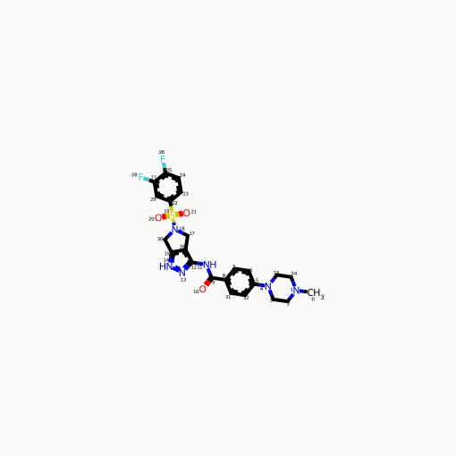 CN1CCN(c2ccc(C(=O)Nc3n[nH]c4c3CN(S(=O)(=O)c3ccc(F)c(F)c3)C4)cc2)CC1